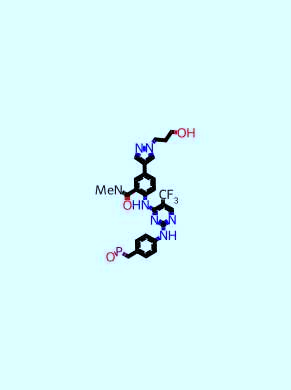 CNC(=O)c1cc(-c2cnn(CCCO)c2)ccc1Nc1nc(Nc2ccc(CP=O)cc2)ncc1C(F)(F)F